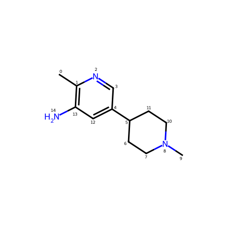 Cc1ncc(C2CCN(C)CC2)cc1N